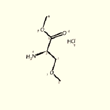 COC[C@@H](N)C(=O)OC.Cl